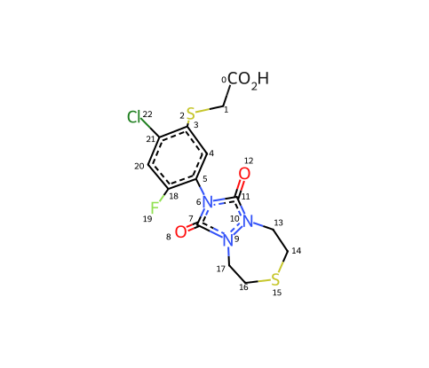 O=C(O)CSc1cc(-n2c(=O)n3n(c2=O)CCSCC3)c(F)cc1Cl